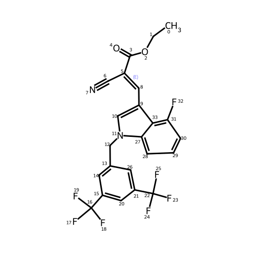 CCOC(=O)/C(C#N)=C/c1cn(Cc2cc(C(F)(F)F)cc(C(F)(F)F)c2)c2cccc(F)c12